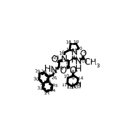 CC(=O)NC[C@@H](C(=O)OC1CCCCC1)N(CC1CCCN1)C(=O)CNCc1cccc2ccccc12.Cl